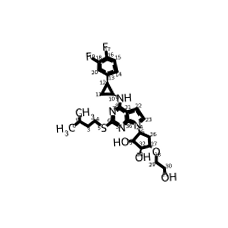 CC(C)CCSc1nc(N[C@@H]2C[C@H]2c2ccc(F)c(F)c2)c2ccn([C@@H]3C[C@H](OCCO)[C@@H](O)[C@H]3O)c2n1